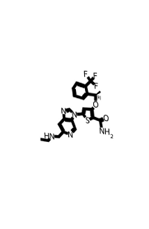 CCNCc1cc2ncn(-c3cc(O[C@H](C)c4ccccc4C(F)(F)F)c(C(N)=O)s3)c2cn1